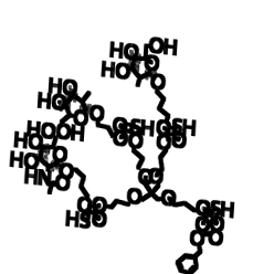 CC(=O)NC1[C@H](OCCCCOP(=O)(S)OCCCOCC(COCCCOP(=O)(S)OCCCCO[C@@H]2OC(CO)[C@@H](O)[C@H](O)C2C)(COCCCOP(=O)(S)OCCCO[C@@H]2OC(CO)[C@H](O)[C@H](O)C2C)COCCCOP(=O)(S)OC(=O)OCc2ccccc2)OC(CO)[C@@H](O)[C@@H]1O